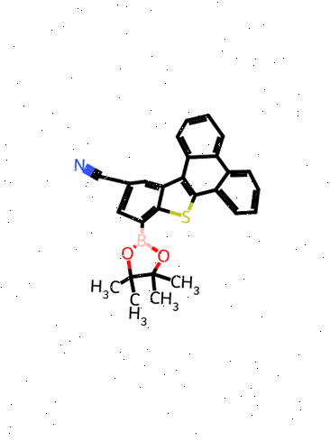 CC1(C)OB(c2cc(C#N)cc3c2sc2c4ccccc4c4ccccc4c32)OC1(C)C